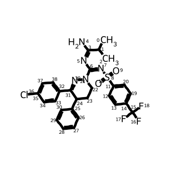 CC(C)/C(N)=N\C(=N\S(=O)(=O)c1ccc(C(F)(F)F)cc1)N1CCC(c2ccccc2)C(c2ccc(Cl)cc2)=N1